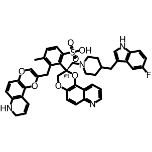 Cc1ccc(S(=O)(=O)O)c([C@@]2(CN3CCC(Cc4c[nH]c5ccc(F)cc45)CC3)COc3ccc4ncccc4c3O2)c1CC1=COc2ccc3c(c2O1)C=CCN3